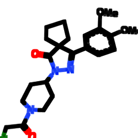 COc1ccc(C2=NN(C3CCN(C(=O)CCl)CC3)C(=O)C23CCCC3)cc1OC